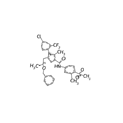 Cc1cc(NC(=O)c2cc(C[C@H](C)OCc3ccccc3)n(-c3ccc(Cl)cc3C(F)(F)F)c2C)ccc1S(C)(=O)=O